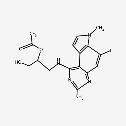 Cn1ccc2c3c(NCC(CO)OC(=O)C(F)(F)F)nc(N)nc3cc(I)c21